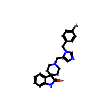 N#Cc1ccc(Cn2cncc2CN2CCC3(CC2)C(=O)Nc2ccccc23)cc1